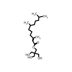 C/C(=C\C(=O)OCC(CO)(CO)CO)CCCC(C)CCCC(C)C